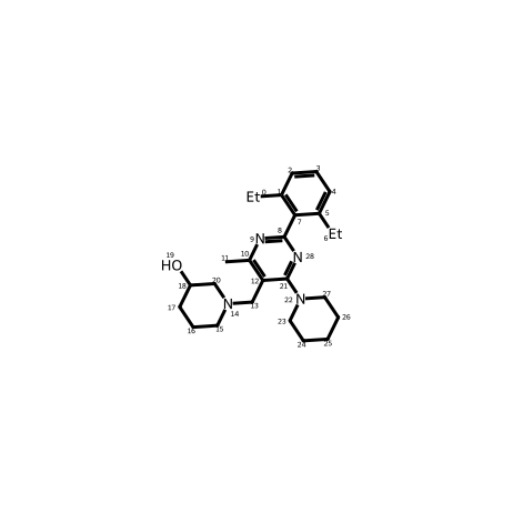 CCc1cccc(CC)c1-c1nc(C)c(CN2CCCC(O)C2)c(N2CCCCC2)n1